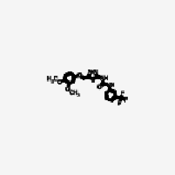 COc1ccc(OCc2nnc(NC(=O)Nc3cccc(C(F)(F)F)c3)s2)cc1OC